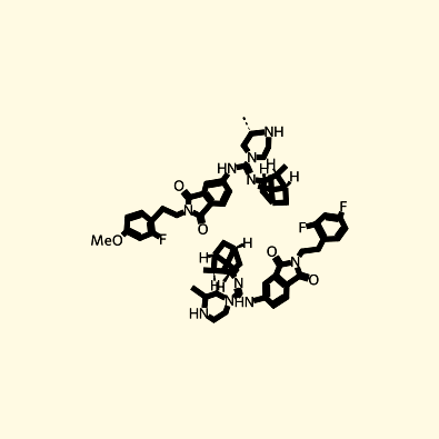 CC1CN(C(=N[C@H]2C[C@H]3C[C@@H]([C@@H]2C)C3(C)C)Nc2ccc3c(c2)C(=O)N(CCc2ccc(F)cc2F)C3=O)CCN1.COc1ccc(CCN2C(=O)c3ccc(NC(=N[C@H]4CC5C[C@@H]([C@@H]4C)C5(C)C)N4CCN[C@@H](C)C4)cc3C2=O)c(F)c1